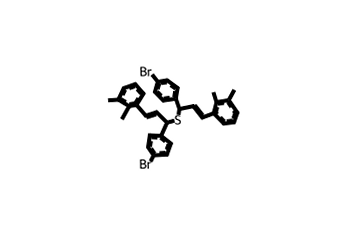 Cc1cccc(C=CC(SC(C=Cc2cccc(C)c2C)c2ccc(Br)cc2)c2ccc(Br)cc2)c1C